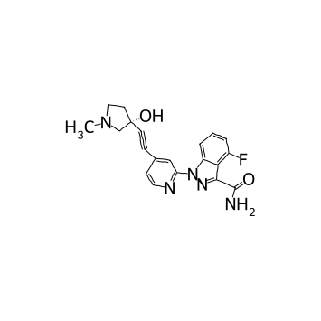 CN1CC[C@@](O)(C#Cc2ccnc(-n3nc(C(N)=O)c4c(F)cccc43)c2)C1